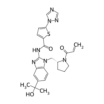 C=CC(=O)N1CCC[C@@H]1Cn1c(NC(=O)c2ccc(-n3cncn3)s2)nc2cc(C(C)(C)O)ccc21